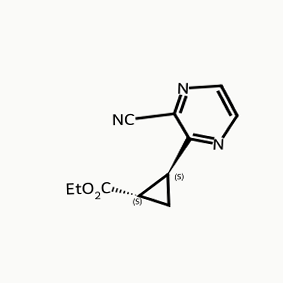 CCOC(=O)[C@H]1C[C@@H]1c1nccnc1C#N